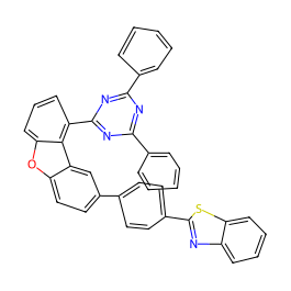 c1ccc(-c2nc(-c3ccccc3)nc(-c3cccc4oc5ccc(-c6ccc(-c7nc8ccccc8s7)cc6)cc5c34)n2)cc1